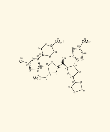 COC[C@H]1CN(C(=O)[C@@H]2CN(C3CCCC3)C[C@H]2c2ccc(OC)cc2)C[C@@H]1c1ccc(Cl)cc1N1CCC(C(=O)O)CC1